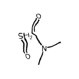 CN(C)C=O.O=[SH2]